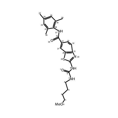 COCCCCNC(=O)Nc1nc2ccc(C(=O)Nc3c(C)cc(C)cc3C)cc2s1